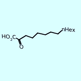 CCCCCCCCCCCCC(=O)C(=O)O